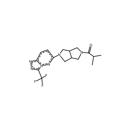 CC(C)C(=O)N1CC2CN(c3ccc4nnc(C(F)(F)F)n4n3)CC2C1